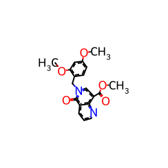 COC(=O)c1cn(Cc2ccc(OC)cc2OC)c(=O)c2cccnc12